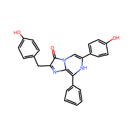 O=c1c(Cc2ccc(O)cc2)nc2c(-c3ccccc3)[nH]c(-c3ccc(O)cc3)cn1-2